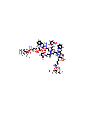 CC(C)(C)OC(=O)NCCCC[C@H](NC(=O)[C@H](Cc1ccccc1)NC(=O)CCN(C(=O)CCN1C(=O)C=CC1=O)N(CCC(=O)N[C@@H](Cc1ccccc1)C(=O)N[C@@H](CCCCNC(=O)OC(C)(C)C)C(=O)O)C(=O)CCN1C(=O)C=CC1=O)C(=O)O